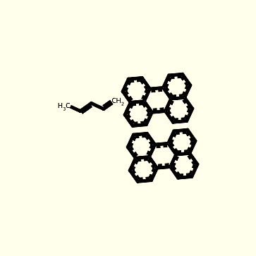 C=CC=CC.c1cc2cccc3c4cccc5cccc(c(c1)c23)c54.c1cc2cccc3c4cccc5cccc(c(c1)c23)c54